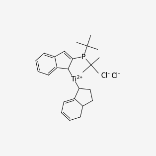 CC(C)(C)P(C1=Cc2ccccc2[CH]1[Ti+2][CH]1CCC2CC=CC=C21)C(C)(C)C.[Cl-].[Cl-]